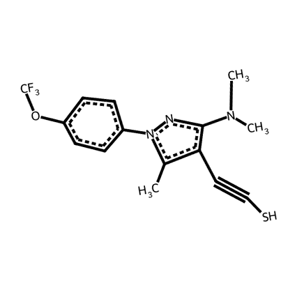 Cc1c(C#CS)c(N(C)C)nn1-c1ccc(OC(F)(F)F)cc1